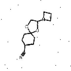 N#CC1CCC2(CC1)OCC(N1CCC1)O2